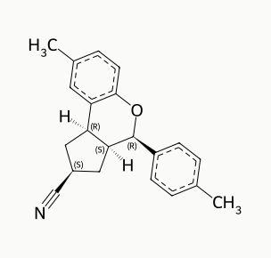 Cc1ccc([C@@H]2Oc3ccc(C)cc3[C@@H]3C[C@H](C#N)C[C@@H]32)cc1